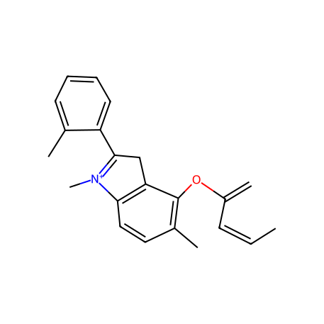 C=C(/C=C\C)Oc1c(C)ccc2c1CC(c1ccccc1C)=[N+]2C